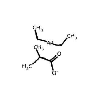 CC(C)C(=O)[O-].C[CH2][Al+][CH2]C